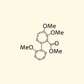 COC(=O)c1c(-c2ccccc2OC)ccc(OC)c1OC